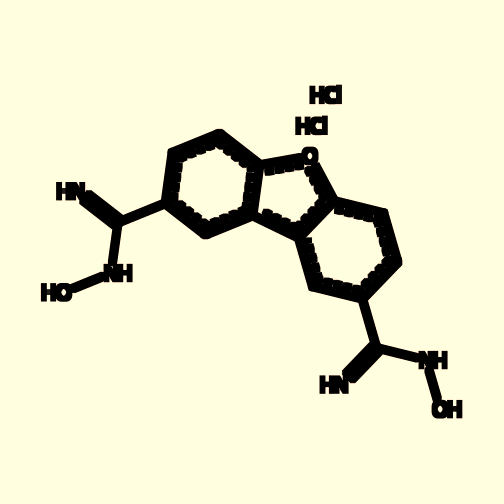 Cl.Cl.N=C(NO)c1ccc2oc3ccc(C(=N)NO)cc3c2c1